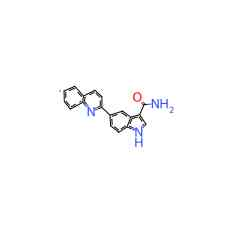 NC(=O)c1c[nH]c2ccc(-c3ccc4c[c]ccc4n3)cc12